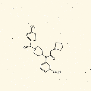 O=C(O)c1cccc(N(C(=O)CN2CCCC2)C2CCN(C(=O)c3ccc(C(F)(F)F)cc3)CC2)c1